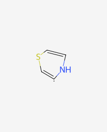 [C]1=CSC=CN1